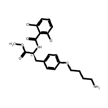 COC(=O)[C@H](Cc1ccc(OCCCCN)cc1)NC(=O)c1c(Cl)cccc1Cl